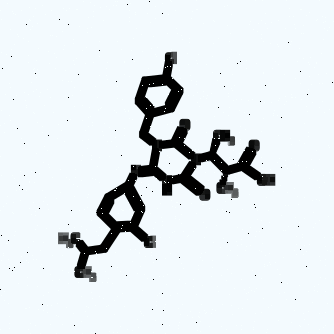 CC(C)Cc1ccc(/N=c2\[nH]c(=O)n([C@@H](C)[C@@H](C)C(=O)O)c(=O)n2Cc2ccc(Cl)cc2)cc1Cl